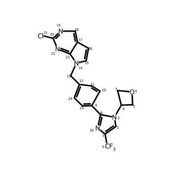 FC(F)(F)c1cn(C2COC2)c(-c2ccc(Cn3ccc4cnc(Cl)nc43)cc2)n1